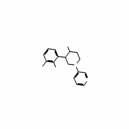 CCOC(=O)C1CCN(c2cccnc2)CC1c1cccc(Cl)c1Cl